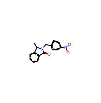 CC1c2ccccc2C(=O)N1Cc1ccc([N+](=O)[O-])cc1